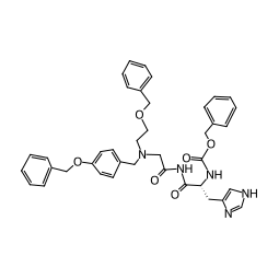 O=C(CN(CCOCc1ccccc1)Cc1ccc(OCc2ccccc2)cc1)NC(=O)[C@@H](Cc1c[nH]cn1)NC(=O)OCc1ccccc1